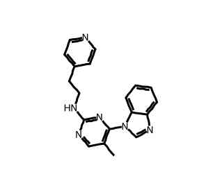 Cc1cnc(NCCc2ccncc2)nc1-n1cnc2ccccc21